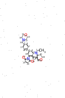 CCN(c1cc(-c2ccc(CN3CCOCC3)cc2)cc(N2C(=O)C=CC2=O)c1C)C1CCOCC1